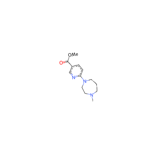 COC(=O)c1ccc(N2CCCN(C)CC2)nc1